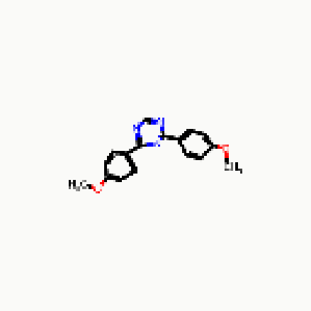 COc1ccc(-c2ncnc(-c3ccc(OC)cc3)n2)cc1